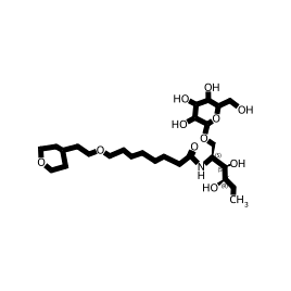 CC[C@@H](O)[C@@H](O)[C@H](COC1OC(CO)C(O)C(O)C1O)NC(=O)CCCCCCCOCCC1CCOCC1